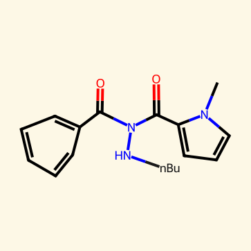 CCCCNN(C(=O)c1ccccc1)C(=O)c1cccn1C